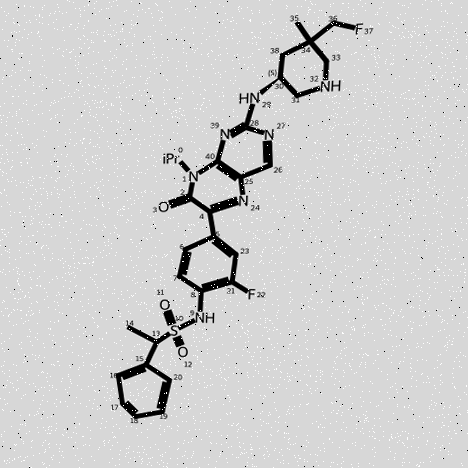 CC(C)n1c(=O)c(-c2ccc(NS(=O)(=O)C(C)c3ccccc3)c(F)c2)nc2cnc(N[C@@H]3CNCC(C)(CF)C3)nc21